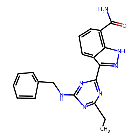 CCc1nc(NCc2ccccc2)nc(-c2n[nH]c3c(C(N)=O)cccc23)n1